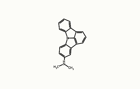 C[SiH](C)c1ccc2c(c1)c1cccc3c4ccccc4n2c31